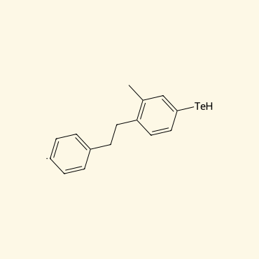 Cc1cc([TeH])ccc1CCc1cc[c]cc1